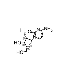 I.Nc1ccn(C2S[C@@H](CO)[C@H](O)[C@H]2F)c(=O)n1